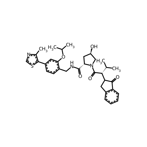 Cc1ncsc1-c1ccc(CNC(=O)[C@@H]2C[C@@H](O)CN2C(=O)[C@H](C(C)C)C2Cc3ccccc3C2=O)c(OC(C)C)c1